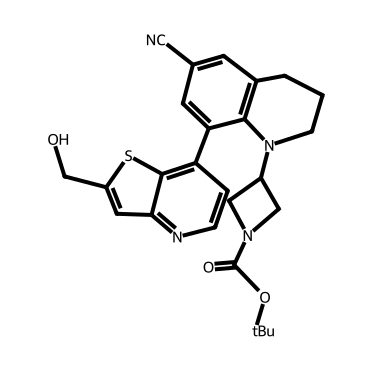 CC(C)(C)OC(=O)N1CC(N2CCCc3cc(C#N)cc(-c4ccnc5cc(CO)sc45)c32)C1